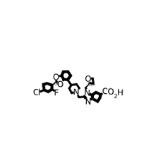 O=C(O)c1ccc2nc(CN3CCC(c4cccc5c4O[C@@H](c4ccc(Cl)cc4F)O5)CC3)n(C[C@@H]3CCO3)c2c1